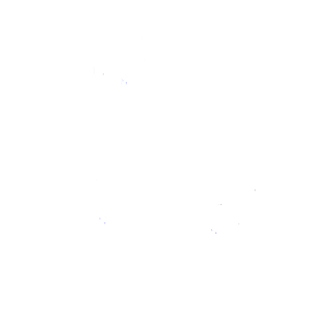 C=C(C)/C=C\c1c(N)ccc2c1O[C@@H](CN1CCC(Oc3ccc4c(c3)N(C)C(=O)CC4)CC1)CO2